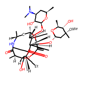 C=C1CO[C@@H]2[C@@H](C)C(=O)N[C@H](C)C[C@@](C)(OC1)[C@H](O[C@@H]1O[C@H](C)C[C@H](N(C)C)[C@H]1O)[C@@H](C)[C@H](O[C@H]1C[C@@](C)(OC)[C@@H](O)[C@H](C)O1)[C@@H](C)C(=O)O[C@H](CC)[C@@]2(C)O